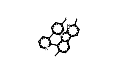 Cc1ccc2c(n1)oc1c(-c3ncccc3-c3ccc(F)cc3)c(C)ccc12